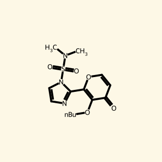 CCCCOc1c(-c2nccn2S(=O)(=O)N(C)C)occc1=O